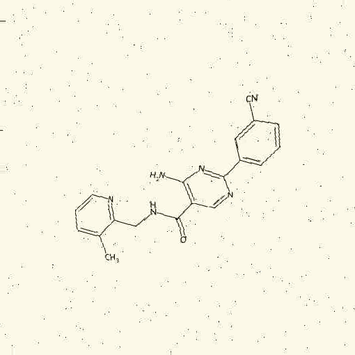 Cc1cccnc1CNC(=O)c1cnc(-c2cccc(C#N)c2)nc1N